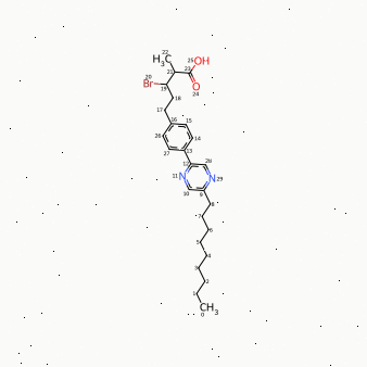 CCCCCCCCCc1cnc(-c2ccc(CCC(Br)C(C)C(=O)O)cc2)cn1